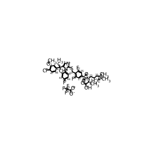 COc1cc(C(C)(C)c2cnc(SCc3c(F)cc(S(=O)(=O)N(CCC[N+](C)(C)C)[C@H](C)C(=O)O)cc3F)n2-c2ccc(F)cc2)ccc1Cl.O=C([O-])C(F)(F)F